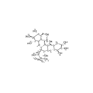 O=[Si]=O.OC[C@H]1OC(O[C@H]2[C@H](O)[C@@H](O)C(O[C@H]3[C@H](O)[C@@H](O)[C@@H](O)O[C@@H]3CO)O[C@@H]2CO)[C@H](O)[C@@H](O)[C@@H]1O.[CH2]CCO